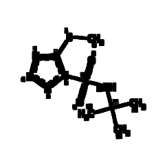 CSc1nnnn1S(=O)(=O)NC(C)(C)C